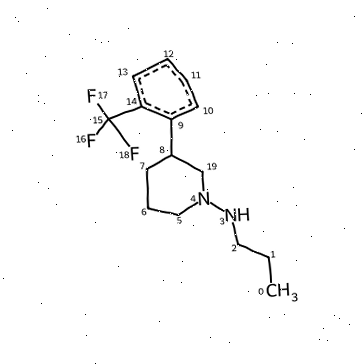 CCCNN1CCCC(c2ccccc2C(F)(F)F)C1